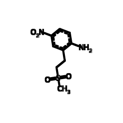 CS(=O)(=O)CCc1cc([N+](=O)[O-])ccc1N